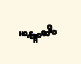 N#C/C(=C\Nc1ccc(-c2cc3ccc(N(c4ccccc4)c4ccccc4)cc3o2)cc1)C(=O)O